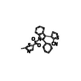 Cc1ncc(S(=O)(=O)n2c(-c3ccccc3)c(-c3ccsc3C#N)c3ccccc32)s1